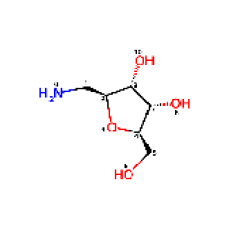 NC[C@@H]1O[C@H](CO)[C@@H](O)[C@H]1O